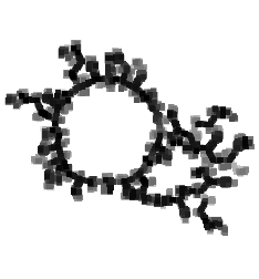 CCCCCCCC(=O)N[C@@H](CCN)C(=O)N[C@H](C(=O)N[C@@H](CCN)C(=O)N[C@H]1CCNC(=O)[C@H]([C@@H](C)O)NC(=O)[C@H](CCN)NC(=O)[C@H](CCN)NC(=O)[C@H]([C@@H](C)O)NC(=O)CNC(=O)[C@H](CO)NC1=O)[C@@H](C)O